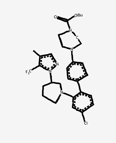 Cc1cnn(C2CCCN(c3cc(Cl)ccc3-c3ccc(N4CCN(C(=O)OCC(C)C)CC4)cc3)C2)c1C(F)(F)F